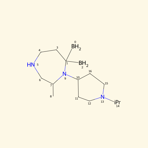 BC1(B)CCNCC(C)N1C1CCN(C(C)C)CC1